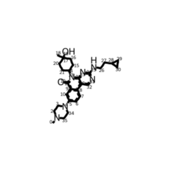 CN1CCN(c2ccc3c(c2)c(=O)n(C2CCC(C)(O)CC2)c2nc(NCCC4CC4)ncc32)CC1